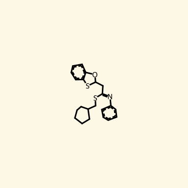 c1ccc(N=C(CC2Oc3ccccc3S2)SCC2CCCCC2)cc1